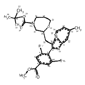 COC(=O)c1cc(F)c(-c2nc3cc(C)ccn3c2CC2CN(C(=O)OC(C)(C)C)CCCO2)c(F)c1